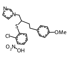 COc1ccc(CCC(Cn2ccnc2)Sc2ccccc2Cl)cc1.O=[N+]([O-])O